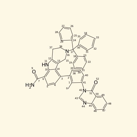 Cc1c(-c2ccc(C(N)=O)c3[nH]c4c(c23)CN(C(c2ccccc2)(c2ccccc2)c2ccccc2)CC4)cccc1-n1cnc2ccccc2c1=O